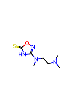 CN(C)CCN(C)c1noc(=S)[nH]1